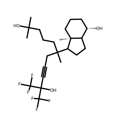 CC(C)(O)CCCC(C)(CC#CC(O)(C(F)(F)F)C(F)(F)F)C1CCC2[C@@H](O)CCC[C@@]21C